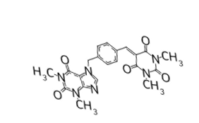 CN1C(=O)C(=Cc2ccc(Cn3cnc4c3c(=O)n(C)c(=O)n4C)cc2)C(=O)N(C)C1=O